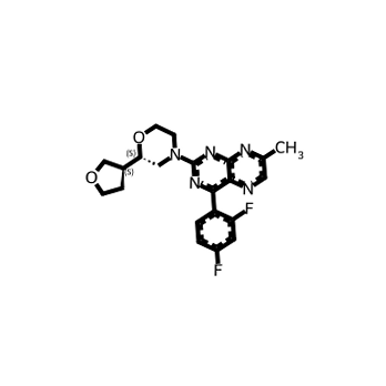 Cc1cnc2c(-c3ccc(F)cc3F)nc(N3CCO[C@@H]([C@H]4CCOC4)C3)nc2n1